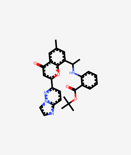 Cc1cc(C(C)Nc2ccccc2C(=O)OC(C)(C)C)c2oc(-c3ccc4nccn4n3)cc(=O)c2c1